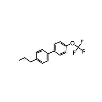 CCCc1ccc(-c2ccc(OC(F)(F)F)cc2)cc1